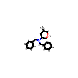 CC(=O)C1COCC(N([CH]c2ccccc2)[CH]c2ccccc2)C1